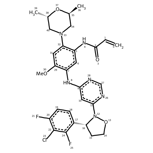 C=CC(=O)Nc1cc(Nc2cc(N3OCC[C@@H]3c3ccc(F)c(Cl)c3F)ncn2)c(OC)cc1N1C[C@H](C)O[C@@H](C)C1